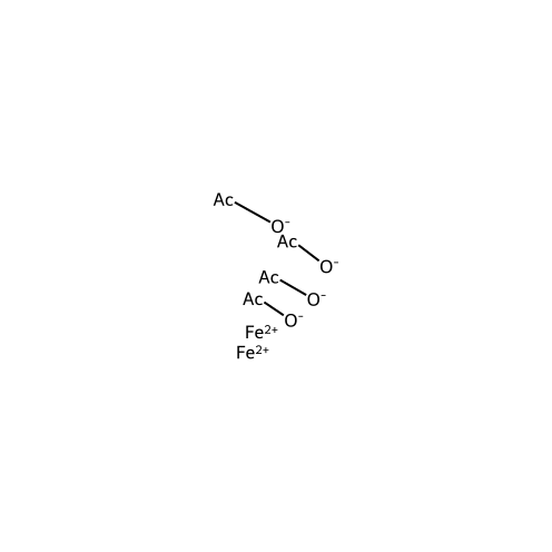 CC(=O)[O-].CC(=O)[O-].CC(=O)[O-].CC(=O)[O-].[Fe+2].[Fe+2]